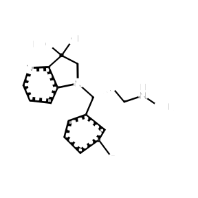 CNCC[C@H](c1cccc(F)c1)N1CC(C)(C)c2ncccc21